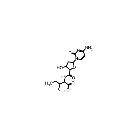 CCC(C)C(NC(=O)C1OC(n2ccc(N)nc2=O)CC1O)C(=O)O